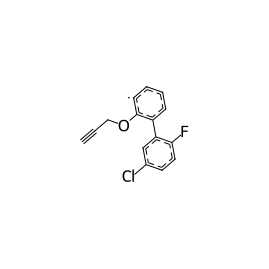 C#CCOc1[c]cccc1-c1cc(Cl)ccc1F